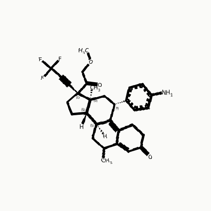 COCC(=O)[C@@]1(C#CC(F)(F)F)CC[C@H]2[C@@H]3CC(C)C4=CC(=O)CCC4=C3[C@@H](c3ccc(N)cc3)C[C@@]21C